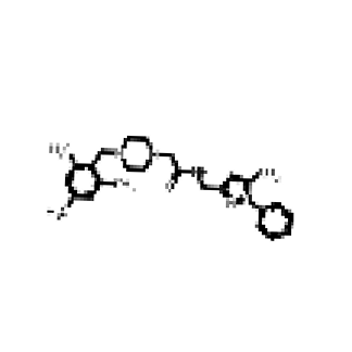 Cc1cc(C)c(CN2CCN(CC(=O)NCc3cc(C)n(-c4ccccc4)n3)CC2)c(C)c1